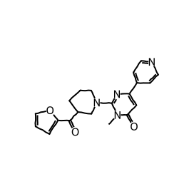 Cn1c(N2CCCC(C(=O)c3ccco3)C2)nc(-c2ccncc2)cc1=O